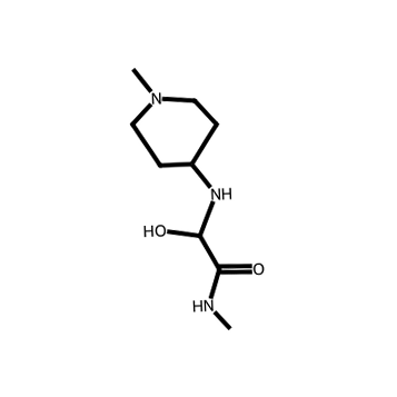 CNC(=O)C(O)NC1CCN(C)CC1